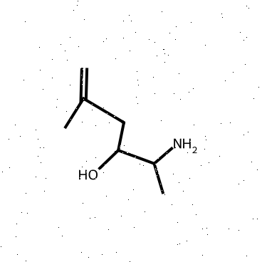 C=C(C)CC(O)C(C)N